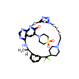 C[C@H]1Nc2ncnc3c2cc(N2CCS(=O)(=O)CC2)c(=O)n3Cc2cn(nn2)CCCCN2CCC(CC2)C(F)(F)c2cccc1c2F